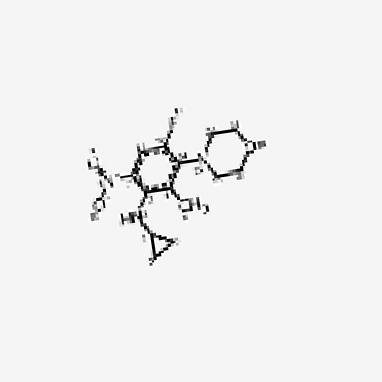 Cc1c(NC2CC2)c([N+](=O)[O-])cc(F)c1N1CCOCC1